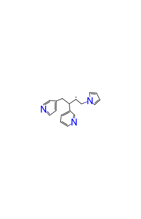 [CH](Cn1cccc1)C(Cc1ccncc1)c1cccnc1